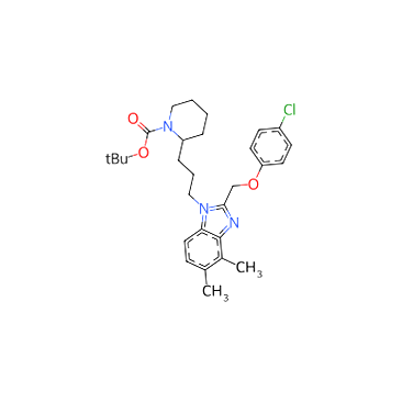 Cc1ccc2c(nc(COc3ccc(Cl)cc3)n2CCCC2CCCCN2C(=O)OC(C)(C)C)c1C